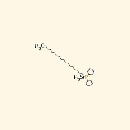 CCCCCCCCCCCCCCCCCC[SiH2]P(c1ccccc1)c1ccccc1